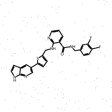 O=C(NCc1ccc(F)c(F)c1)c1cccnc1NCc1ccc(-c2cnc3[nH]ccc3c2)s1